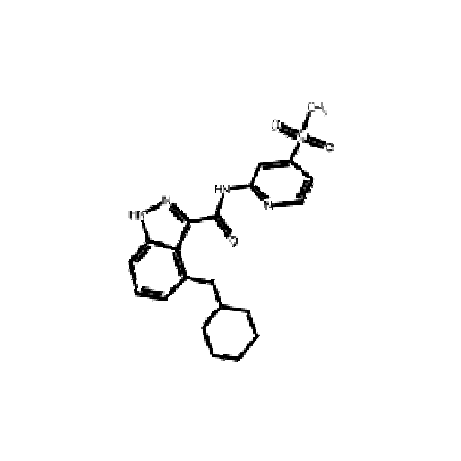 CS(=O)(=O)c1ccnc(NC(=O)c2n[nH]c3cccc(CC4CCCCC4)c23)c1